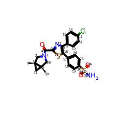 C[C@@]12CN(C(=O)c3nc(-c4ccc(Cl)cc4)c(-c4ccc(S(N)(=O)=O)cc4)s3)C[C@]1(C)C2